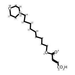 O=C(O)C=CC(=O)OCCCCCCCCCN1CCOCC1